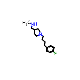 CNCC1CCN(CCCCc2ccc(F)cc2)CC1